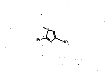 CC(C)c1nc([N+](=O)[O-])cn1C